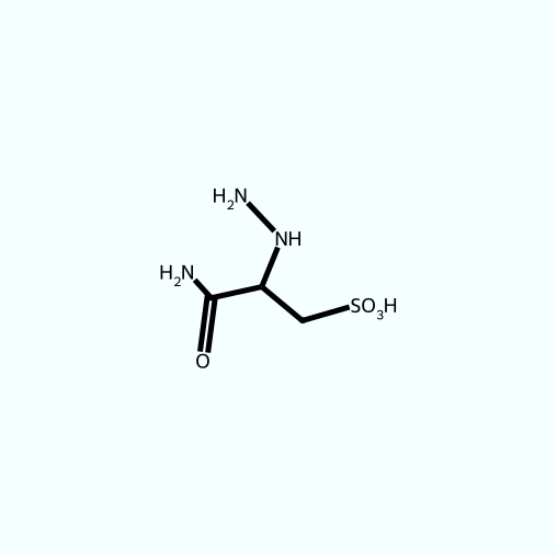 NNC(CS(=O)(=O)O)C(N)=O